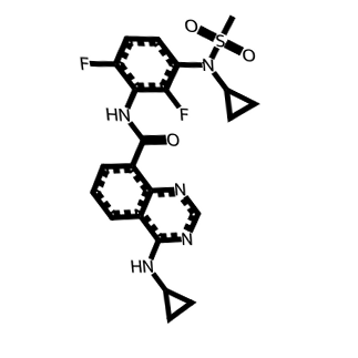 CS(=O)(=O)N(c1ccc(F)c(NC(=O)c2cccc3c(NC4CC4)ncnc23)c1F)C1CC1